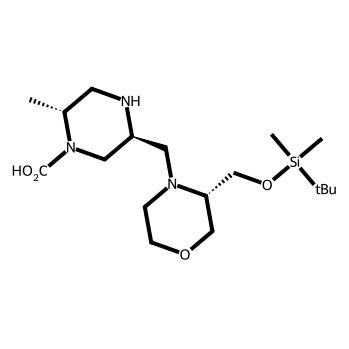 C[C@@H]1CN[C@@H](CN2CCOC[C@H]2CO[Si](C)(C)C(C)(C)C)CN1C(=O)O